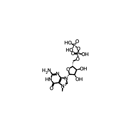 C[n+]1cn([C@@H]2O[C@H](COP(=O)(O)OP(=O)(O)O)[C@@H](O)[C@H]2O)c2nc(N)[nH]c(=O)c21